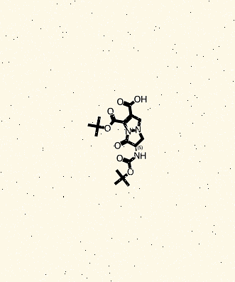 CC(C)(C)OC(=O)N[C@H]1CN2CC(C(=O)O)=C(C(=O)OC(C)(C)C)N2C1=O